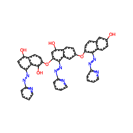 Oc1ccc2c(/N=N/c3ccccn3)c(Oc3ccc4c(O)cc(Oc5ccc6c(O)ccc(/N=N/c7ccccn7)c6c5O)c(/N=N/c5ccccn5)c4c3)ccc2c1